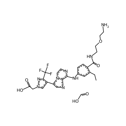 CCc1cc(Nc2nccn3c(-c4cn(CC(=O)O)nc4C(F)(F)F)cnc23)ccc1C(=O)NCCOCCN.O=CO